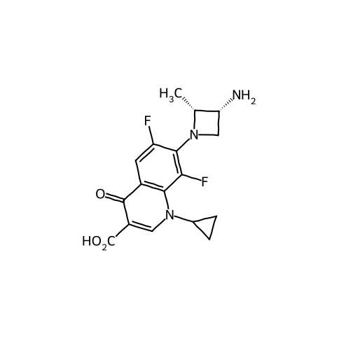 C[C@@H]1[C@H](N)CN1c1c(F)cc2c(=O)c(C(=O)O)cn(C3CC3)c2c1F